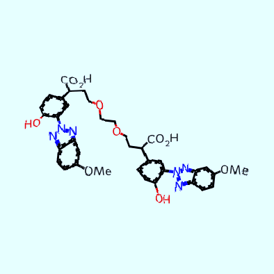 COc1ccc2nn(-c3cc(C(CCOCCOCCC(C(=O)O)c4ccc(O)c(-n5nc6ccc(OC)cc6n5)c4)C(=O)O)ccc3O)nc2c1